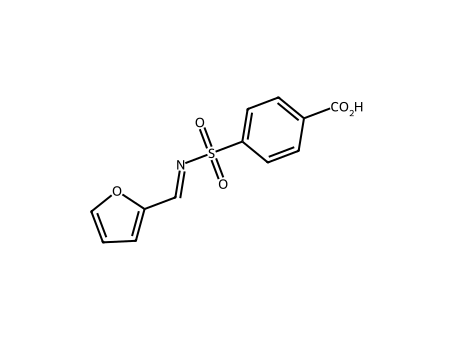 O=C(O)c1ccc(S(=O)(=O)N=Cc2ccco2)cc1